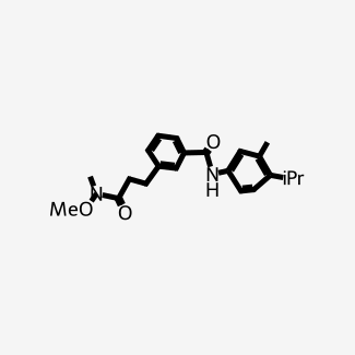 CON(C)C(=O)CCc1cccc(C(=O)Nc2ccc(C(C)C)c(C)c2)c1